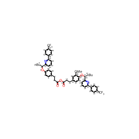 CCCC[C@H](Oc1ccc(CCC(=O)OC(=O)CCc2ccc(O[C@@H](CCCC)c3cccc(-c4ccc(C(F)(F)F)cc4)n3)c(OC)c2)cc1)c1cccc(-c2ccc(C(F)(F)F)cc2)n1